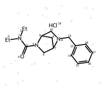 CCN(CC)C(=O)N1CC2CC1CN2Cc1ccccc1.Cl